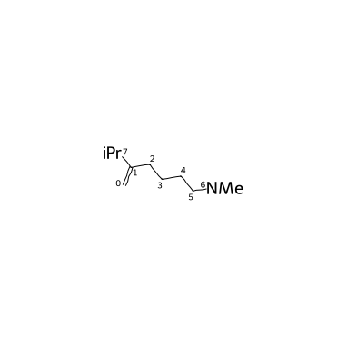 C=C(CCCCNC)C(C)C